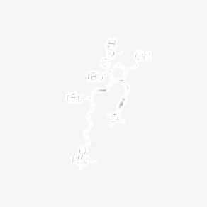 C[SiH](C)OCCCCC[C@@H](C=C[C@@H]1[C@H](CC#C[Si](C)(C)C)[C@@H](CO)C[C@]1(O[SiH](C)C)C(C)(C)C)C(C)(C)C